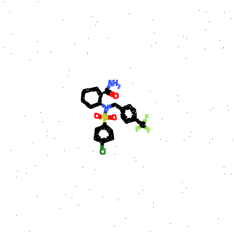 NC(=O)[C@H]1CCCC[C@@H]1N(Cc1ccc(C(F)(F)F)cc1)S(=O)(=O)c1ccc(Cl)cc1